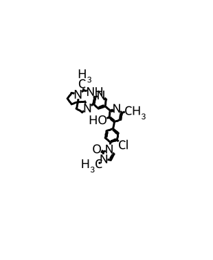 Cc1cc(-c2ccc(-n3ccn(C)c3=O)c(Cl)c2)c(O)c(-c2cnc3c(c2)N2CCC4(CCCN4C(C)N3)C2)n1